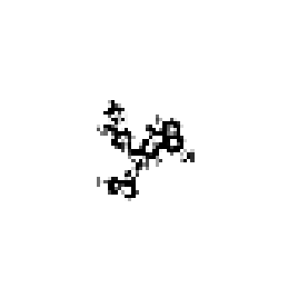 CCc1c(F)ccc2cc(O)cc(-c3ncc4c(N5CCC(C(=O)n6cc(C)cn6)CC5)nc(OC[C@@]56CCCN5C[C@H](F)C6)nc4c3F)c12